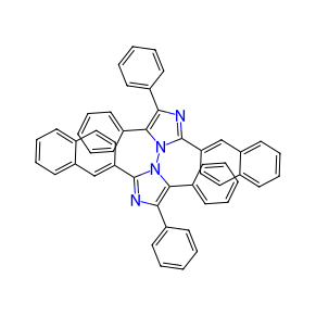 c1ccc(-c2nc(-c3ccc4ccccc4c3)n(-n3c(-c4ccc5ccccc5c4)nc(-c4ccccc4)c3-c3ccccc3)c2-c2ccccc2)cc1